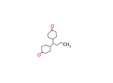 CCCC(C1CCC(=O)CC1)C1CCC(=O)CC1